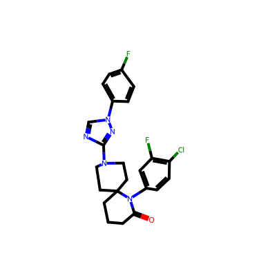 O=C1CCCC2(CCN(c3ncn(-c4ccc(F)cc4)n3)CC2)N1c1ccc(Cl)c(F)c1